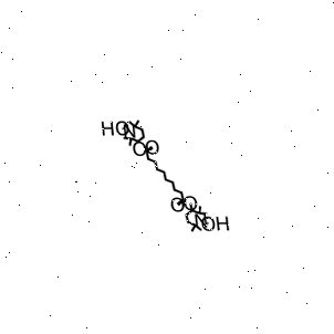 CC1(C)CCC(OC(=O)CCCCCCCCC(=O)OC2CCC(C)(C)N(O)C2(C)C)C(C)(C)N1O